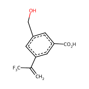 C=C(c1cc(CO)cc(C(=O)O)c1)C(F)(F)F